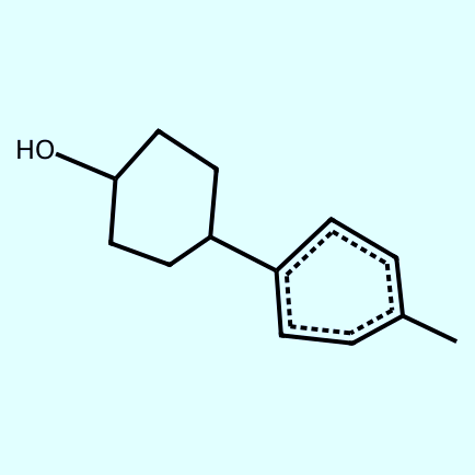 Cc1ccc(C2CCC(O)CC2)cc1